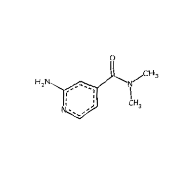 CN(C)C(=O)c1ccnc(N)c1